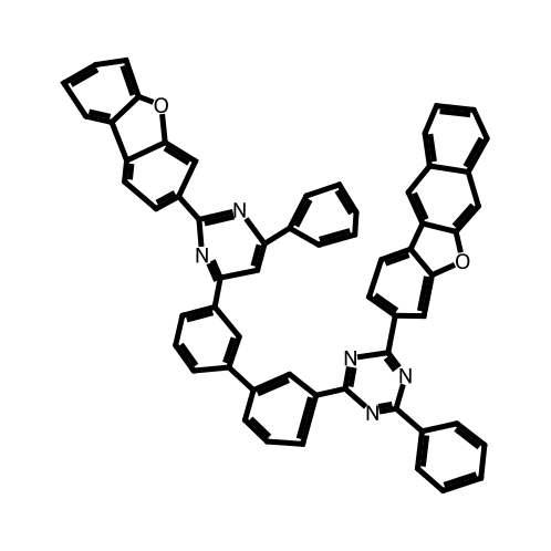 c1ccc(-c2cc(-c3cccc(-c4cccc(-c5nc(-c6ccccc6)nc(-c6ccc7c(c6)oc6cc8ccccc8cc67)n5)c4)c3)nc(-c3ccc4c(c3)oc3ccccc34)n2)cc1